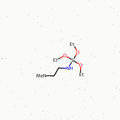 CCO[Si](NCCNC)(OCC)OCC